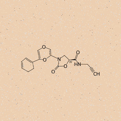 C#CCNC(=O)[C@@H]1CN(C2=COC=C(C3=CC=CCC3)O2)C(=O)O1